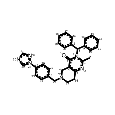 Cc1nc2c(c(=O)n1C(c1ccccc1)c1ccccc1)CN(Cc1ccc(-n3cncn3)cc1)CC2